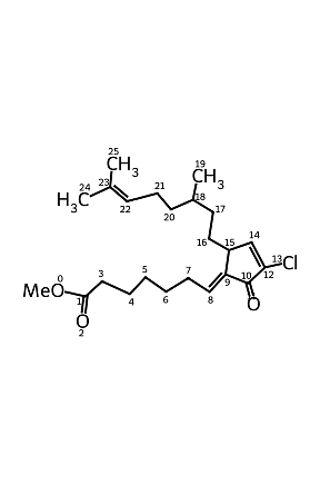 COC(=O)CCCCCC=C1C(=O)C(Cl)=CC1CCC(C)CCC=C(C)C